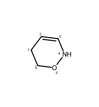 [CH]1CC=CNO1